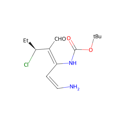 CC[C@H](Cl)/C(C=O)=C(\C=C/N)NC(=O)OC(C)(C)C